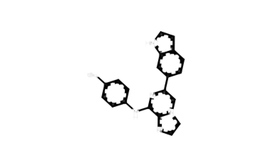 CC(C)(C)c1ccc(Nc2nc(-c3ccc4cc[nH]c4c3)cn3ccnc23)cc1